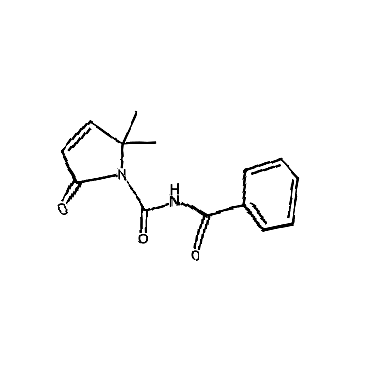 CC1(C)C=CC(=O)N1C(=O)NC(=O)c1ccccc1